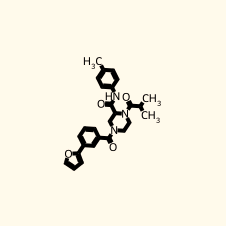 Cc1ccc(NC(=O)C2CN(C(=O)c3cccc(-c4ccco4)c3)CCN2C(=O)C(C)C)cc1